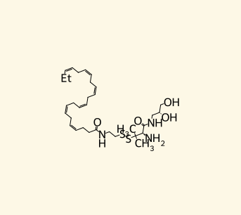 CC/C=C\C/C=C\C/C=C\C/C=C\C/C=C\C/C=C\CCC(=O)NCCSSC(C)(C)[C@H](N)C(=O)NC[C@@H](O)CO